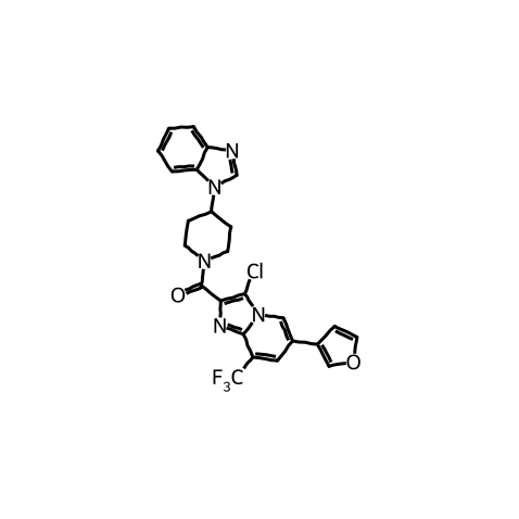 O=C(c1nc2c(C(F)(F)F)cc(-c3ccoc3)cn2c1Cl)N1CCC(n2cnc3ccccc32)CC1